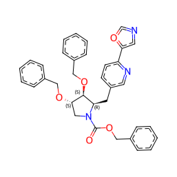 O=C(OCc1ccccc1)N1C[C@H](OCc2ccccc2)[C@@H](OCc2ccccc2)[C@H]1Cc1ccc(-c2cnco2)nc1